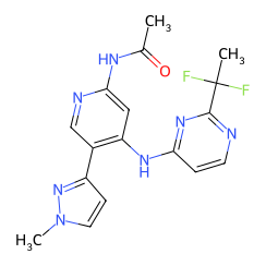 CC(=O)Nc1cc(Nc2ccnc(C(C)(F)F)n2)c(-c2ccn(C)n2)cn1